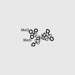 COc1ccc(C(OC[C@H]2O[C@@H](n3cnc4c(N(C(=O)c5ccccc5)C(=O)c5ccccc5)ncnc43)[C@@H](F)[C@@H]2OC(=O)c2ccccc2)(c2ccccc2)c2ccc(OC)cc2)cc1